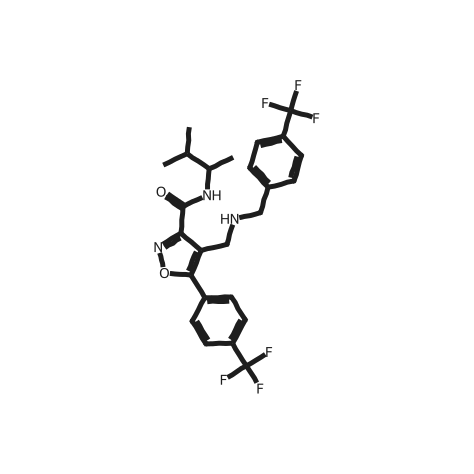 CC(C)C(C)NC(=O)c1noc(-c2ccc(C(F)(F)F)cc2)c1CNCc1ccc(C(F)(F)F)cc1